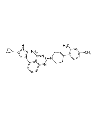 Cc1ccc(C2=CCN(c3nc(N)c4c(-c5cc(C6CC6)[nH]n5)cccc4n3)CC2)c(C)c1